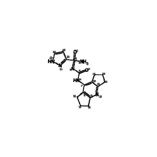 NS(=O)(=NC(=O)Nc1c2c(nc3c1CCC3)CCC2)c1cc[nH]n1